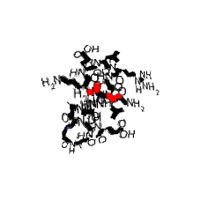 CC[C@H](C)[C@H](NNC(=O)[C@H](N[C@@H](C)C=O)N1C/C=C/CCC(=O)N[C@@H](C)C(=O)N[C@@H](N[C@H](C=O)CCC(=O)O)C1=O)C(=O)N[C@@H](CCCCN)C(=O)N[C@@H](CCC(=O)O)C(=O)N[C@@H](CC(C)C)C(=O)N[C@@H](CCCNC(=N)N)C(=O)N[C@@H](CC(N)=O)C(=O)N[C@@H](CC(C)C)C(=O)CN